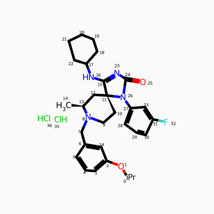 CC(C)Oc1cccc(CN2CC[C@@]3(C[C@@H]2C)C(NC2CCCCC2)=NC(=O)N3c2cccc(F)c2)c1.Cl.Cl